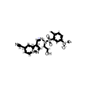 Cc1ccc([N+](=O)[O-])cc1S(=O)(=O)N(CCO)/N=C\c1cnn2ccc(C#N)cc12